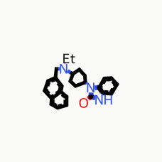 CCN(Cc1ccc2ccccc2c1)C1CCC(n2c(=O)[nH]c3ccccc32)CC1